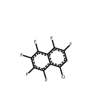 Fc1cc(Cl)c2c(F)c(F)c(F)c(F)c2c1F